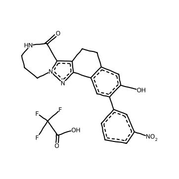 O=C(O)C(F)(F)F.O=C1NCCCn2nc3c(c21)CCc1cc(O)c(-c2cccc([N+](=O)[O-])c2)cc1-3